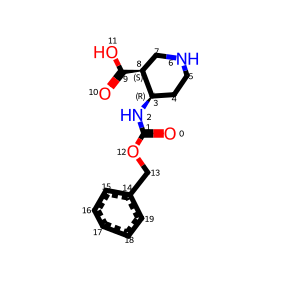 O=C(N[C@@H]1CCNC[C@@H]1C(=O)O)OCc1ccccc1